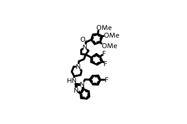 COc1cc(C(=O)N2CCC(CCN3CCC(Nc4nc5ccccc5n4Cc4ccc(F)cc4)CC3)(c3ccc(F)c(F)c3)C2)cc(OC)c1OC